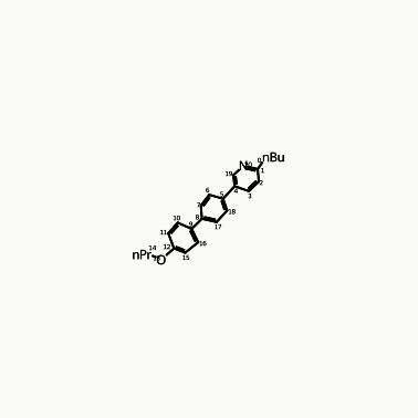 CCCCc1ccc(-c2ccc(-c3ccc(OCCC)cc3)cc2)cn1